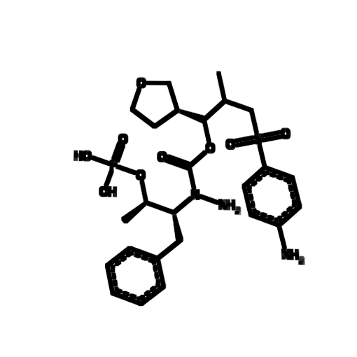 CC(CS(=O)(=O)c1ccc(N)cc1)C(OC(=O)N(N)[C@@H](Cc1ccccc1)[C@@H](C)OP(=O)(O)O)[C@H]1CCOC1